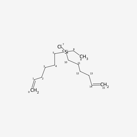 C=CCCCC[Si](Cl)(CC)CCCCC=C